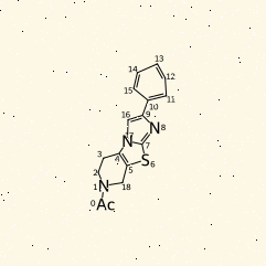 CC(=O)N1CCc2c(sc3nc(-c4ccccc4)cn23)C1